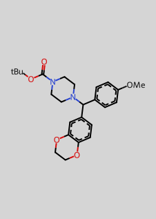 COc1ccc(C(c2ccc3c(c2)OCCO3)N2CCN(C(=O)OC(C)(C)C)CC2)cc1